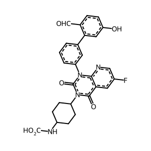 O=Cc1ccc(O)cc1-c1cccc(-n2c(=O)n(C3CCC(NC(=O)O)CC3)c(=O)c3cc(F)cnc32)c1